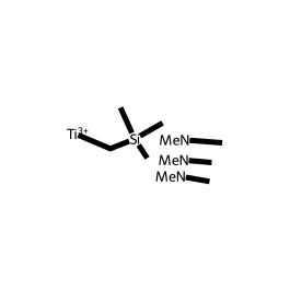 C[N-]C.C[N-]C.C[N-]C.C[Si](C)(C)[CH2][Ti+3]